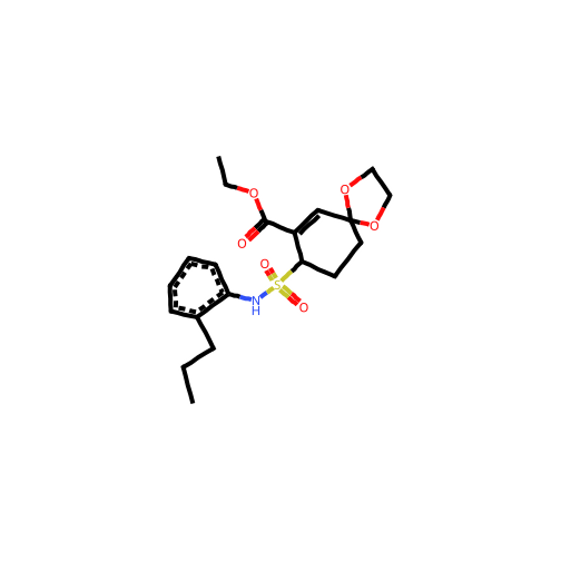 CCCc1ccccc1NS(=O)(=O)C1CCC2(C=C1C(=O)OCC)OCCO2